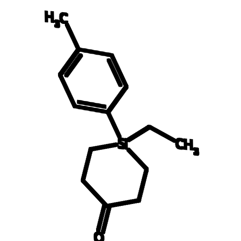 CC[Si]1(c2ccc(C)cc2)CCC(=O)CC1